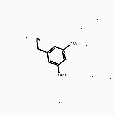 COc1[c]c(OC)cc(CC(C)C)c1